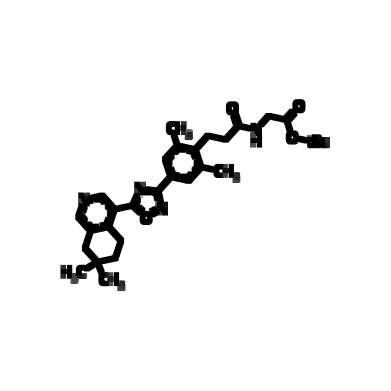 Cc1cc(-c2noc(-c3cncc4c3CCC(C)(C)C4)n2)cc(C)c1CCC(=O)NCC(=O)OC(C)(C)C